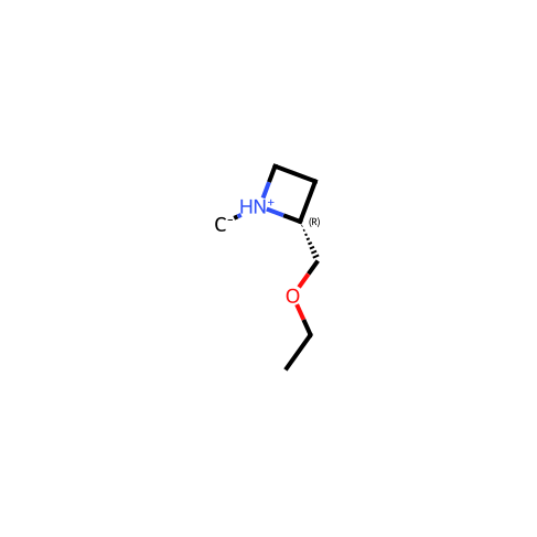 [CH2-][NH+]1CC[C@@H]1COCC